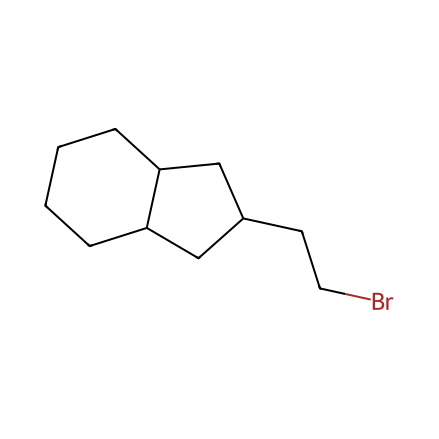 BrCCC1CC2CCCCC2C1